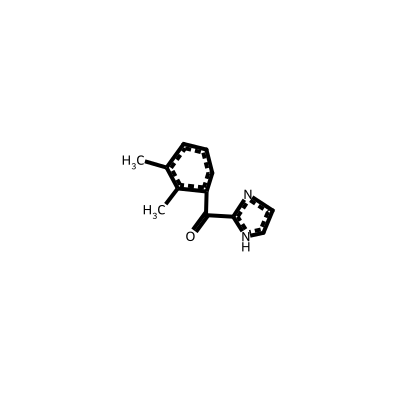 Cc1cccc(C(=O)c2ncc[nH]2)c1C